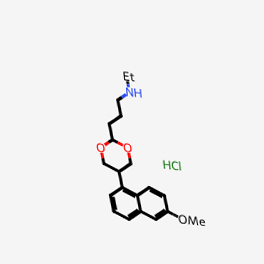 CCNCCCC1OCC(c2cccc3cc(OC)ccc23)CO1.Cl